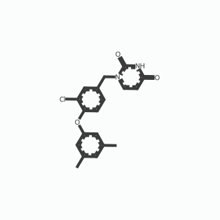 Cc1cc(C)cc(Oc2ccc(Cn3ccc(=O)[nH]c3=O)cc2Cl)c1